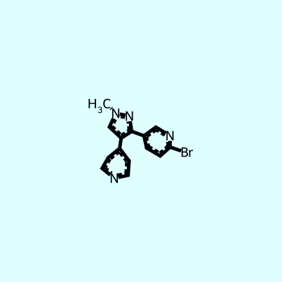 Cn1cc(-c2ccncc2)c(-c2ccc(Br)nc2)n1